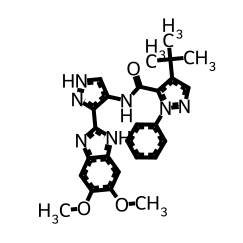 COc1cc2nc(-c3n[nH]cc3NC(=O)c3c(C(C)(C)C)cnn3-c3ccccc3)[nH]c2cc1OC